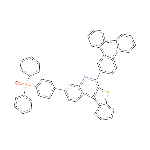 O=P(c1ccccc1)(c1ccccc1)c1ccc(-c2ccc3c(c2)nc(-c2ccc4c5ccccc5c5ccccc5c4c2)c2sc4ccccc4c23)cc1